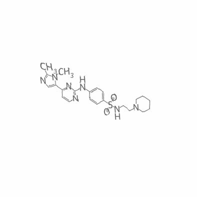 Cc1ncc(-c2ccnc(Nc3ccc(S(=O)(=O)NCCN4CCCCC4)cc3)n2)n1C